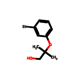 CCc1cccc(OC(C)(C)CO)c1